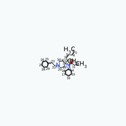 C=C(/C=C\C=C/C)C1(N(C(=O)CC)c2ccccc2)CCN(CCc2ccccc2)CC1